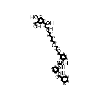 O=C(Nc1cccc(COCCOCCCCCCNC[C@H](O)c2ccc(O)c(CO)c2)c1)Nc1ccccc1NC(=O)c1ccccc1